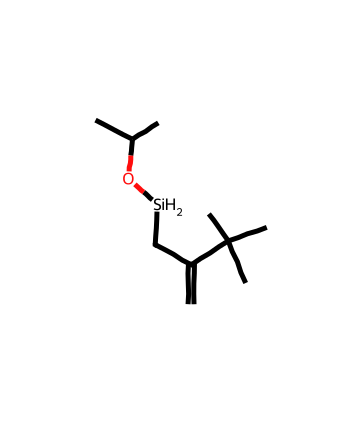 C=C(C[SiH2]OC(C)C)C(C)(C)C